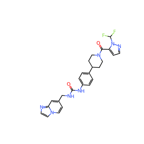 O=C(NCc1ccn2ccnc2c1)Nc1ccc(C2CCN(C(=O)c3ccnn3C(F)F)CC2)cc1